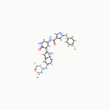 C[C@@H]1CN(Cc2ccc3[nH]c(-c4cc(NC(=O)c5cnn(Cc6ccc(F)cc6)c5)c[nH]c4=O)cc3c2)C[C@H](C)O1